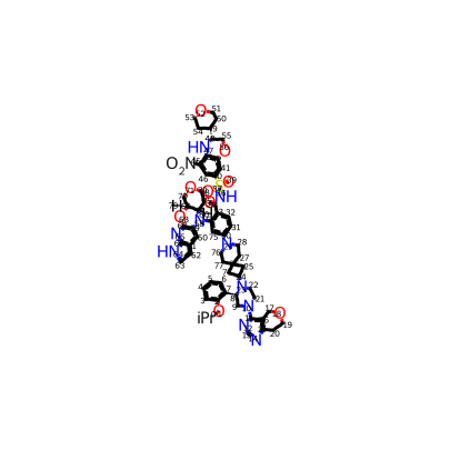 CC(C)Oc1ccccc1[C@@H]1CN(c2ncnc3c2COCC3)CCN1C1CC2(CCN(c3ccc(C(=O)NS(=O)(=O)c4cc5c(c([N+](=O)[O-])c4)N[C@H](C4CCOCC4)CO5)c(N4c5cc6cc[nH]c6nc5O[C@H]5COCC[C@@H]54)c3)CC2)C1